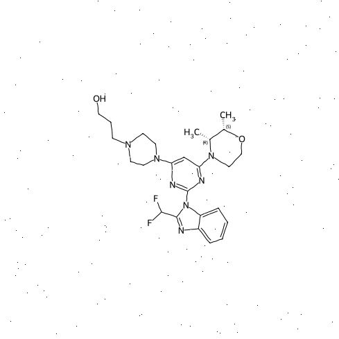 C[C@@H]1OCCN(c2cc(N3CCN(CCCO)CC3)nc(-n3c(C(F)F)nc4ccccc43)n2)[C@@H]1C